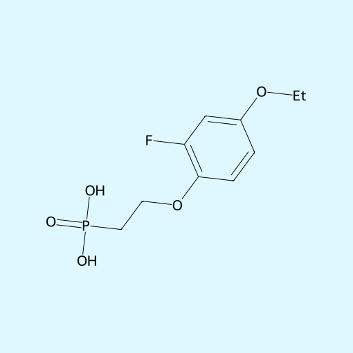 CCOc1ccc(OCCP(=O)(O)O)c(F)c1